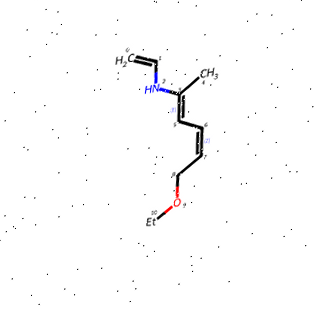 C=CN/C(C)=C/C=C\COCC